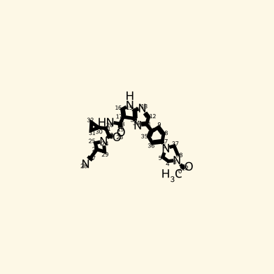 CC(=O)N1CCN(c2ccc(-c3cnc4[nH]cc(C(=O)N[C@@H](C(=O)N5CC(C#N)C5)C5CC5)c4n3)cc2)CC1